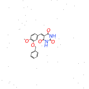 COc1ccc(C=C2C(=O)NC(=O)NC2=O)cc1OCc1ccccc1